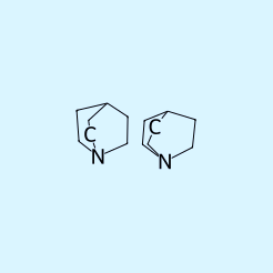 C1CN2CCC1CC2.C1CN2CCC1CC2